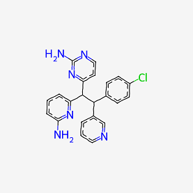 Nc1cccc(C(c2ccnc(N)n2)C(c2ccc(Cl)cc2)c2cccnc2)n1